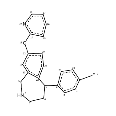 Fc1ccc(C2CCNCc3cc(Oc4ccccn4)ccc32)cc1